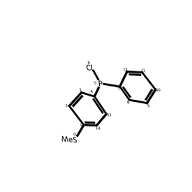 CSc1ccc(P(Cl)c2ccccc2)cc1